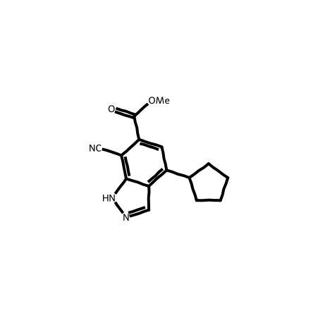 COC(=O)c1cc(C2CCCC2)c2cn[nH]c2c1C#N